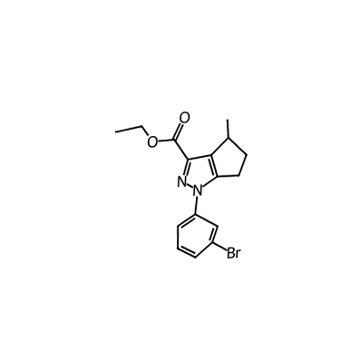 CCOC(=O)c1nn(-c2cccc(Br)c2)c2c1C(C)CC2